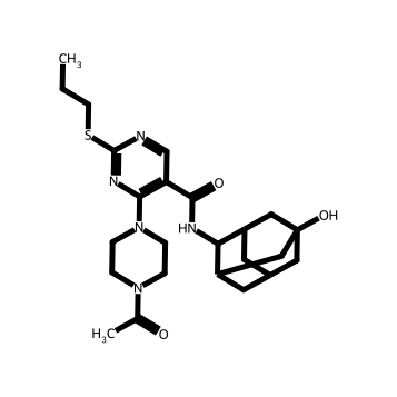 CCCSc1ncc(C(=O)NC2C3CC4CC2CC(O)(C4)C3)c(N2CCN(C(C)=O)CC2)n1